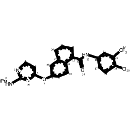 CC(C)Nc1nccc(Oc2ccc3c(C(=O)Nc4ccc(Cl)c(C(F)(F)F)c4)cccc3c2)n1